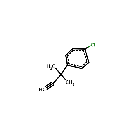 C#CC(C)(C)c1ccc(Cl)cc1